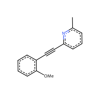 COc1ccccc1C#Cc1cccc(C)n1